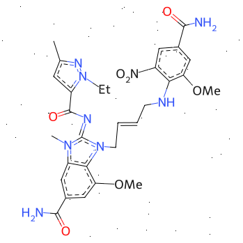 CCn1nc(C)cc1C(=O)/N=c1\n(C)c2cc(C(N)=O)cc(OC)c2n1C/C=C/CNc1c(OC)cc(C(N)=O)cc1[N+](=O)[O-]